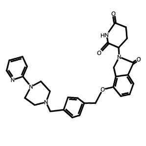 O=C1CCC(N2Cc3c(OCc4ccc(CN5CCN(c6ccccn6)CC5)cc4)cccc3C2=O)C(=O)N1